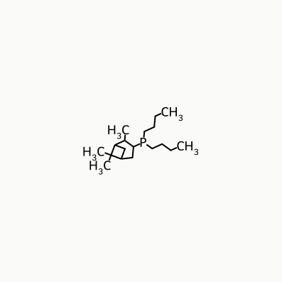 CCCCP(CCCC)C1CC2CC(C1C)C2(C)C